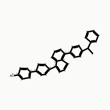 CC(c1ccccc1)c1ccc(-c2cccc3c(-c4ccc(-c5ccc(C#N)cc5)cc4)cccc23)cc1